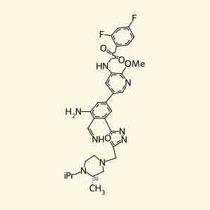 COc1ncc(-c2cc(N)c(C=N)c(-c3nnc(CN4CCN(C(C)C)[C@@H](C)C4)o3)c2)cc1NS(=O)(=O)c1ccc(F)cc1F